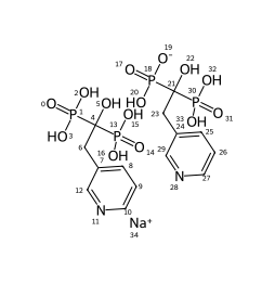 O=P(O)(O)C(O)(Cc1cccnc1)P(=O)(O)O.O=P([O-])(O)C(O)(Cc1cccnc1)P(=O)(O)O.[Na+]